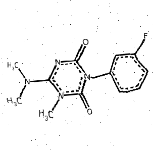 CN(C)c1nc(=O)n(-c2cccc(F)c2)c(=O)n1C